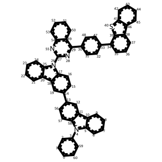 c1ccc(-n2c3ccccc3c3cc(-c4ccc5c(c4)c4ccccc4n5-c4nc(-c5ccc(-c6cccc7c6sc6ccccc67)cc5)c5ccccc5n4)ccc32)cc1